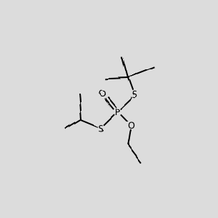 CCOP(=O)(SC(C)C)SC(C)(C)C